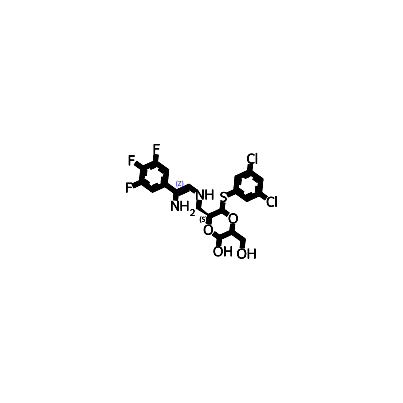 N/C(=C\NC[C@@H]1OC(O)C(CO)OC1Sc1cc(Cl)cc(Cl)c1)c1cc(F)c(F)c(F)c1